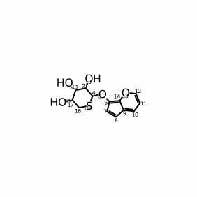 O[C@@H]1[C@@H](O)[C@@H](Oc2ccc3cccoc2-3)SC[C@H]1O